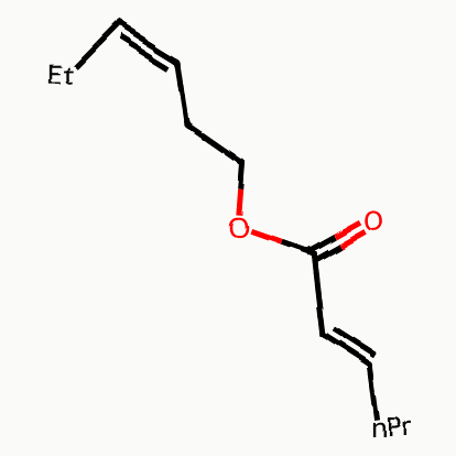 CC/C=C\CCOC(=O)/C=C/CCC